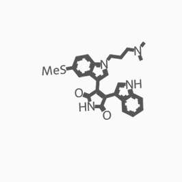 CSc1ccc2c(c1)c(C1=C(c3c[nH]c4ccccc34)C(=O)NC1=O)cn2CCCN(C)C